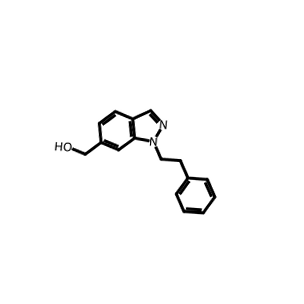 OCc1ccc2cnn(CCc3ccccc3)c2c1